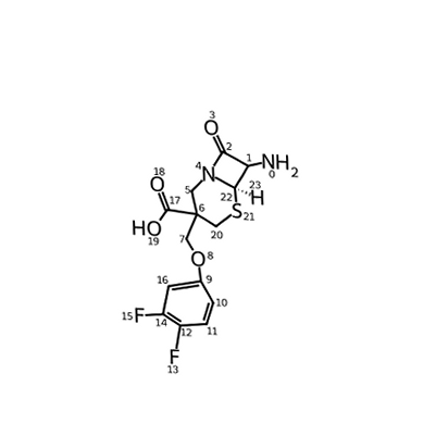 NC1C(=O)N2CC(COc3ccc(F)c(F)c3)(C(=O)O)CS[C@H]12